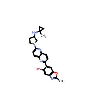 Cc1nc2cc(O)c(-c3ccc4nc(N5CCC(NC6(C)CC6)C5)ccc4n3)cc2o1